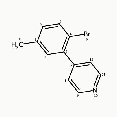 Cc1ccc(Br)c(-c2ccncc2)c1